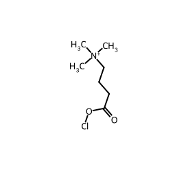 C[N+](C)(C)CCCC(=O)OCl